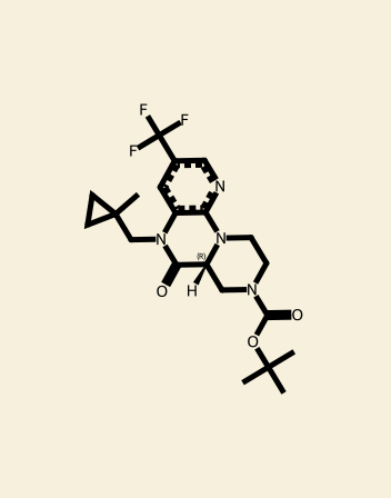 CC1(CN2C(=O)[C@H]3CN(C(=O)OC(C)(C)C)CCN3c3ncc(C(F)(F)F)cc32)CC1